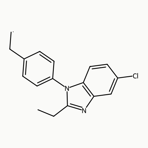 [CH2]Cc1ccc(-n2c(CC)nc3cc(Cl)ccc32)cc1